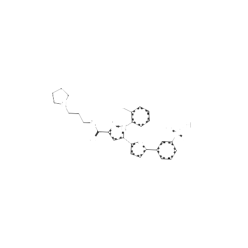 CS(=O)(=O)c1cccc(-c2ccc(-c3cc(C(=O)NCCCN4CCCC4)nn3-c3ccccc3Cl)s2)c1